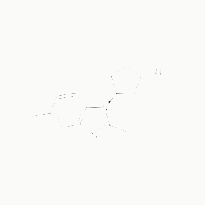 Cc1ccc2c(c1)nc(C)n2[C@H]1CC[C@H](N)C1